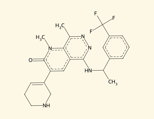 Cc1nnc(NC(C)c2cccc(C(F)(F)F)c2)c2cc(C3=CCCNC3)c(=O)n(C)c12